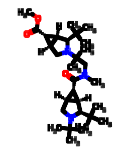 COC(=O)[C@H]1[C@@H]2CN(C(C)(C)CN(C)C(=O)[C@H]3[C@@H]4CN(C(C)(C)C)[C@H](C(C)(C)C)[C@@H]43)[C@H](C(C)(C)C)[C@@H]21